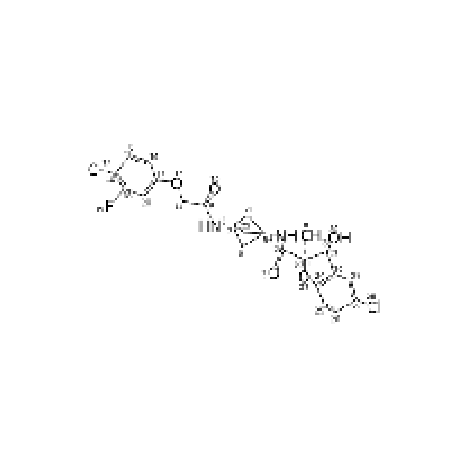 C[C@@]1(C(=O)NC23CC(NC(=O)COc4ccc(Cl)c(F)c4)(C2)C3)Oc2ccc(Cl)cc2C1O